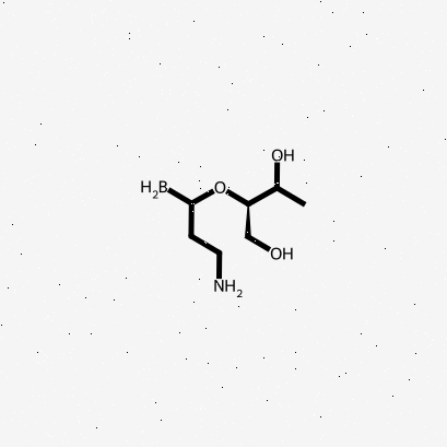 BC(CCN)O[C@H](CO)C(C)O